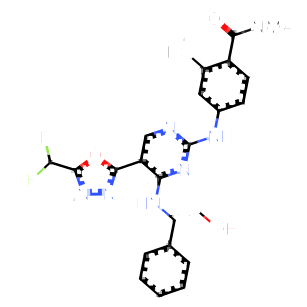 CNC(=O)c1ccc(Nc2ncc(-c3nnc(C(F)F)o3)c(N[C@H](CO)c3ccccc3)n2)cc1C